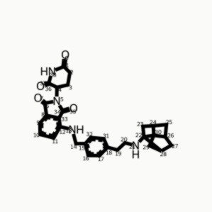 O=C1CCC(N2C(=O)c3cccc(NCc4ccc(CCNC56CC7CC8CC5CC876)cc4)c3C2=O)C(=O)N1